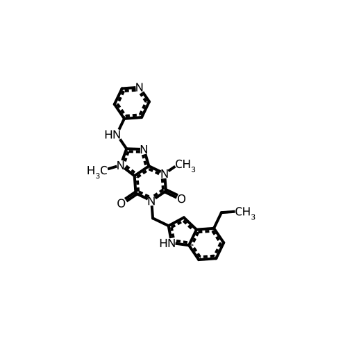 CCc1cccc2[nH]c(Cn3c(=O)c4c(nc(Nc5ccncc5)n4C)n(C)c3=O)cc12